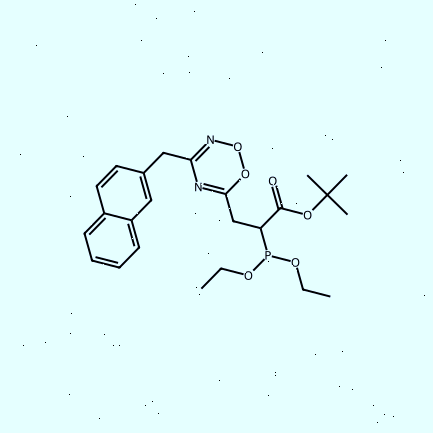 CCOP(OCC)C(CC1=NC(Cc2ccc3ccccc3c2)=NOO1)C(=O)OC(C)(C)C